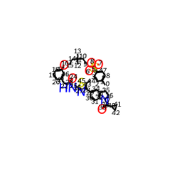 Cc1ccc(S(=O)(=O)OCCC(C)(C)CCOc2cccc(CC(=O)Nc3nc(-c4ccc5c(c4)CCN5C(=O)C4CC4)c(C)s3)c2)cc1